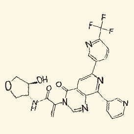 C=C(C(=O)N[C@@H]1COC[C@H]1O)n1cnc2c(-c3cccnc3)nc(-c3ccc(C(F)(F)F)nc3)cc2c1=O